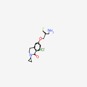 Cl.NCC(=CF)COc1ccc2c(c1)CCN(C1CC1)C2=O